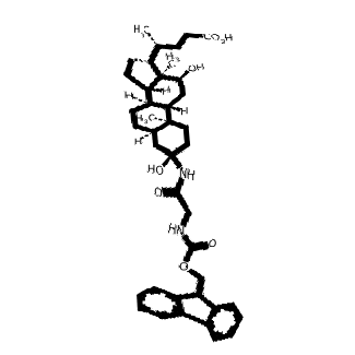 C[C@H](CCC(=O)O)[C@H]1CC[C@H]2[C@@H]3CC[C@@H]4C[C@@](O)(NC(=O)CNC(=O)OCC5c6ccccc6-c6ccccc65)CC[C@]4(C)[C@H]3C[C@H](O)[C@]12C